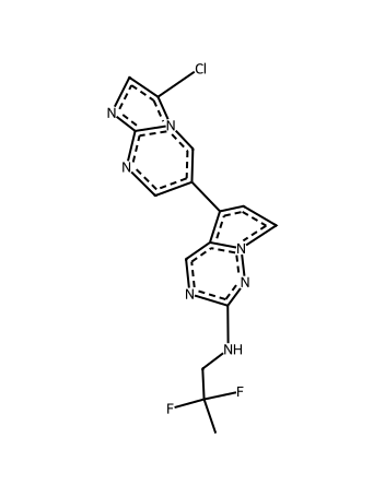 CC(F)(F)CNc1ncc2c(-c3cnc4ncc(Cl)n4c3)ccn2n1